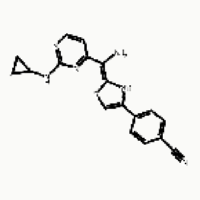 N#Cc1ccc(C2=CS/C(=C(/N)c3ccnc(NC4CC4)n3)N2)cc1